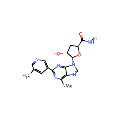 CCNC(=O)[C@@H]1C[C@@H](O)[C@H](n2cnc3c(NC)nc(-c4cncc(C)c4)nc32)O1